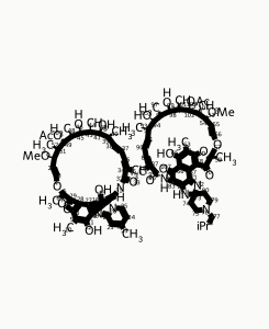 CO[C@H]1/C=C/O[C@@]2(C)Oc3c(C)c(O)c4c(O)c(c5c(nc6cc(C)ccn65)c4c3C2=O)NC(=O)/C(C)=C\C=C\[C@H](C)[C@H](O)[C@@H](C)[C@@H](O)[C@@H](C)[C@H](OC(C)=O)[C@@H]1C.CO[C@H]1/C=C/O[C@@]2(C)Oc3c(C)c(O)c4c(c3C2=O)C2=NC3(CCN(CC(C)C)CC3)NC2=C(NC(=O)/C(C)=C\C=C\[C@H](C)[C@H](O)[C@@H](C)[C@@H](O)[C@@H](C)[C@H](OC(C)=O)[C@@H]1C)C4=O